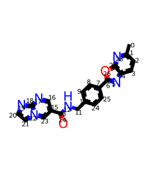 Cc1ccc2nc(-c3ccc(CNC(=O)c4cnc5nccn5c4)cc3)oc2n1